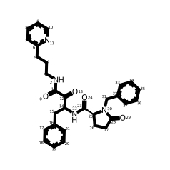 O=C(NCCCc1ccccn1)C(=O)C(Cc1ccccc1)NC(=O)[C@@H]1CCC(=O)N1Cc1ccccc1